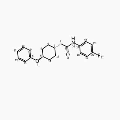 O=C(C[C@H]1CC[C@H](Oc2ccccc2)CC1)Nc1ccc(F)cc1